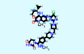 Cn1nc(N2CCC(=O)NC2=O)c2ccc(C3CCN(CC4CCN(c5ncc(Cl)c(Nc6cc7c8c(c(=O)n(C)c7cc6F)OCC(F)(F)[C@H](C6CC6)N8)n5)CC4)CC3)cc21